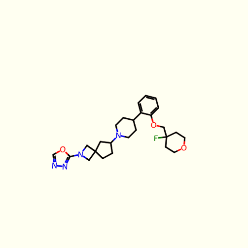 FC1(COc2ccccc2C2CCN(C3CCC4(C3)CN(c3nnco3)C4)CC2)CCOCC1